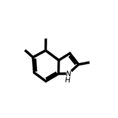 CC1=CC2C(=CC=C(C)C2C)N1